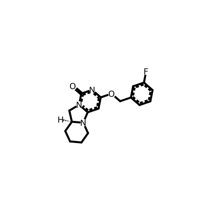 O=c1nc(OCc2cccc(F)c2)cc2n1C[C@@H]1CCCCN21